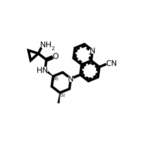 C[C@H]1C[C@@H](NC(=O)C2(N)CC2)CN(c2ccc(C#N)c3ncccc23)C1